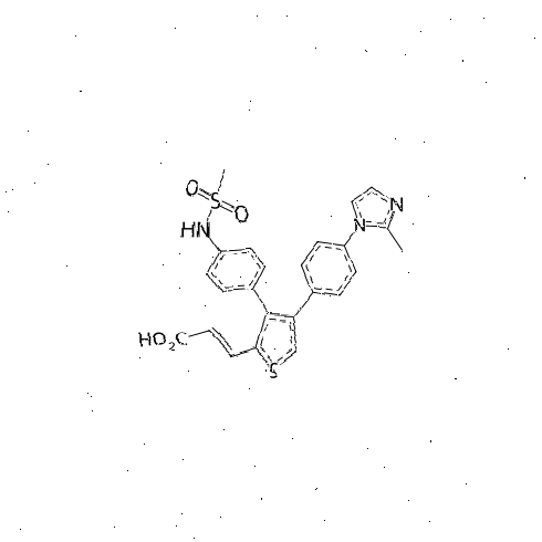 Cc1nccn1-c1ccc(-c2csc(C=CC(=O)O)c2-c2ccc(NS(C)(=O)=O)cc2)cc1